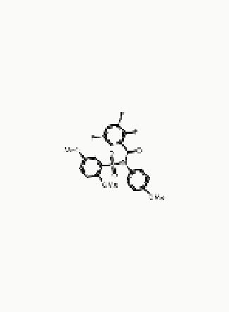 COc1ccc(N(C(=O)c2cc(F)cc(F)c2F)S(=O)(=O)c2cc(OC)ccc2OC)cc1